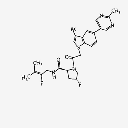 CC(=O)c1cn(CC(=O)N2C[C@H](F)C[C@H]2C(=O)NCC(F)=C(C)C)c2ccc(-c3cnc(C)nc3)cc12